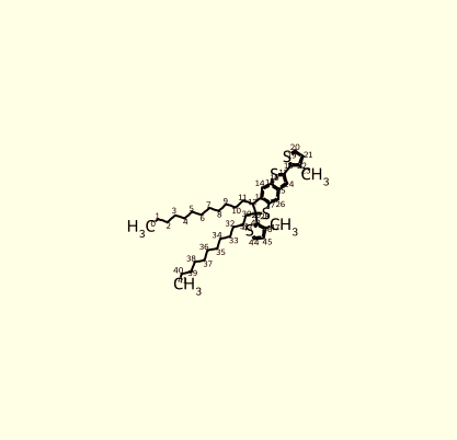 CCCCCCCCCCCCC1c2cc3sc(-c4sccc4C)cc3cc2SC1(CCCCCCCCCCCC)c1sccc1C